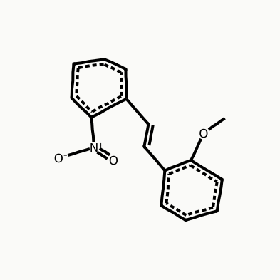 COc1ccccc1C=Cc1ccccc1[N+](=O)[O-]